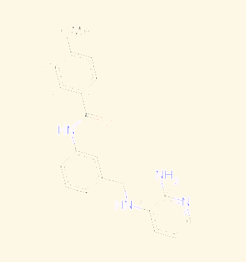 COc1ccc(C(=O)Nc2cccc(CNc3cccnc3N)c2)cc1